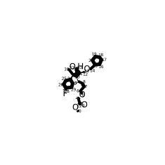 COC(=O)COC/C=C\C[C@H]1[C@H](COCc2ccccc2)[C@@H]2C[C@@]1(c1ccc(F)cc1)CO2